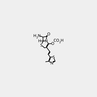 Cc1ncsc1C=CC1=C(OC(=O)O)N2C(=O)C(N)[C@@H]2SC1